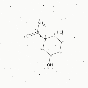 Cl.NC(=O)N1CC[CH]C(O)C1